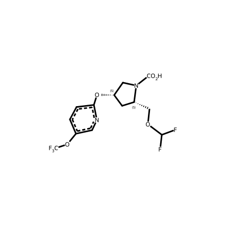 O=C(O)N1C[C@@H](Oc2ccc(OC(F)(F)F)cn2)C[C@H]1COC(F)F